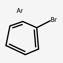 Brc1ccccc1.[Ar]